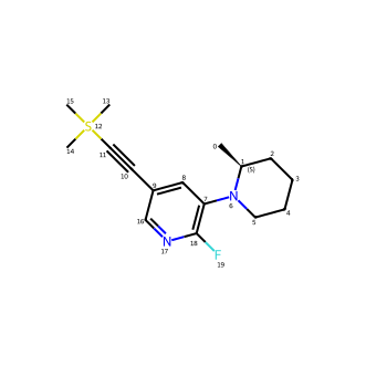 C[C@H]1CCCCN1c1cc(C#CS(C)(C)C)cnc1F